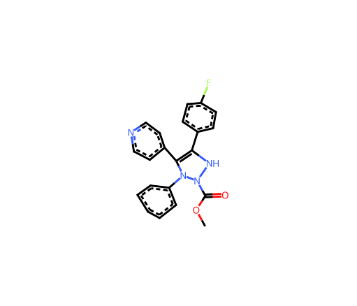 COC(=O)N1NC(c2ccc(F)cc2)=C(c2ccncc2)N1c1ccccc1